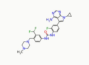 CN1CCN(Cc2ccc(NC(=O)Nc3ccc(-c4cn(C5CC5)c5ncnc(N)c45)cc3F)cc2C(F)F)CC1